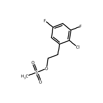 CS(=O)(=O)OCCc1cc(F)cc(F)c1Cl